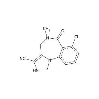 CN1CC2=C(C#N)NCN2c2cccc(Cl)c2C1=O